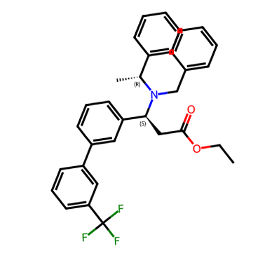 CCOC(=O)C[C@@H](c1cccc(-c2cccc(C(F)(F)F)c2)c1)N(Cc1ccccc1)[C@H](C)c1ccccc1